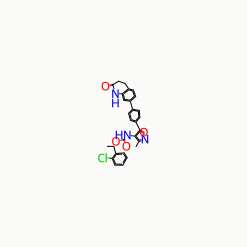 Cc1noc(-c2ccc(-c3ccc4c(c3)NC(=O)CC4)cc2)c1NC(=O)OC(C)c1ccccc1Cl